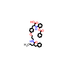 CCCC(Cc1ccccc1)C(=O)NCCCOc1ccc(CC(Nc2ccccc2OC(=O)c2ccccc2)C(=O)O)cc1